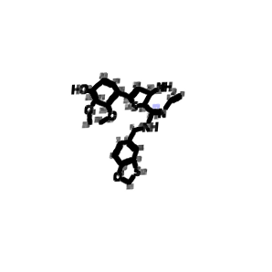 C=C/N=C(/NCc1ccc2c(c1)SCO2)C1SC(c2ccc(O)c(OC)c2OC)=CC1N